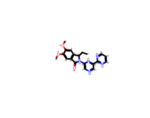 CCC1c2cc(OC)c(OC)cc2C(=O)N1c1cncc(-c2ncccn2)n1